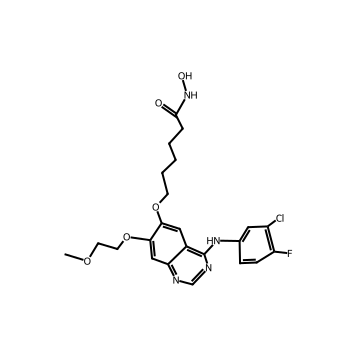 COCCOc1cc2ncnc(Nc3ccc(F)c(Cl)c3)c2cc1OCCCCCC(=O)NO